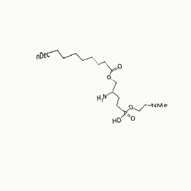 CCCCCCCCCCCCCCCCCC(=O)OCC(N)CCP(=O)(O)OCCNC